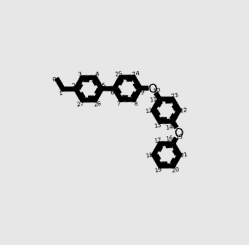 CCc1ccc(-c2ccc(Oc3ccc(Oc4ccccc4)cc3)cc2)cc1